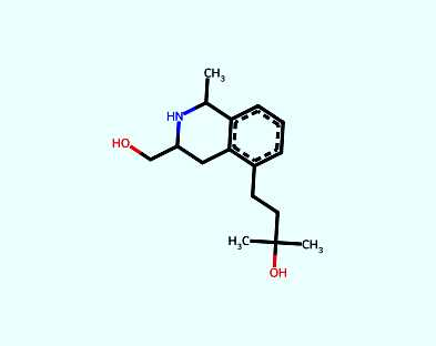 CC1NC(CO)Cc2c(CCC(C)(C)O)cccc21